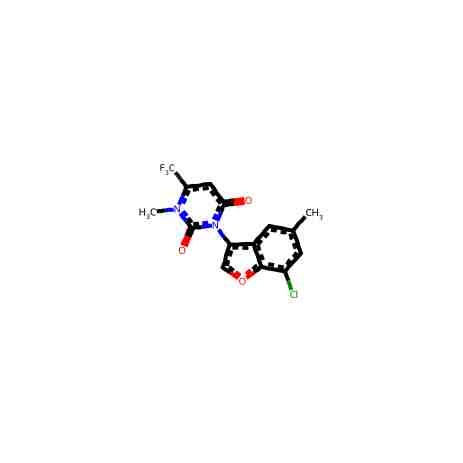 Cc1cc(Cl)c2occ(-n3c(=O)cc(C(F)(F)F)n(C)c3=O)c2c1